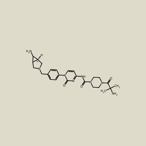 CC(C)(N)C(=O)N1CCN(C(=O)Nc2ccn(-c3ccc(CN4CC5C(N)[C@@H]5C4)cc3)c(=O)n2)CC1